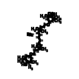 CC1(C)CC(OCCC[N+](C)(C)CCCCCC[N+](C)(C)CCCOC2CC(C)(C)N(O)C(C)(C)C2)CC(C)(C)N1O.[Br-].[Br-]